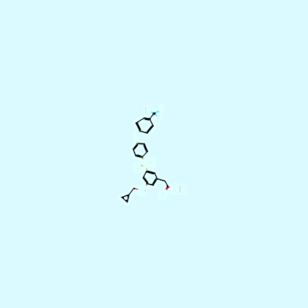 O=C(O)Cc1cc(OCC2CC2)cc(S(=O)(=O)c2ccc(Sc3ccc(C(F)(F)F)cc3)cc2)c1